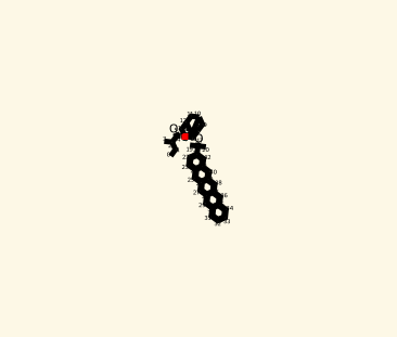 CCC(C)C(=O)OC1C2CC3CC1CC(C2)C3OC(C)(C)c1ccc2cc3cc4cc5ccccc5cc4cc3cc2c1